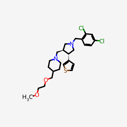 COCCOCC1CCN(C[C@H]2CN(Cc3ccc(Cl)cc3Cl)C[C@@H]2c2ccsc2)CC1